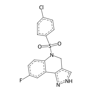 O=S(=O)(c1ccc(Cl)cc1)N1Cc2c[nH]nc2-c2cc(F)ccc21